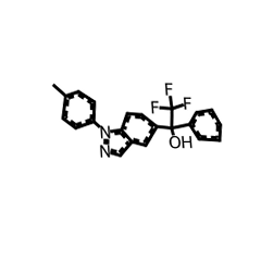 Cc1ccc(-n2ncc3cc(C(O)(c4ccccc4)C(F)(F)F)ccc32)cc1